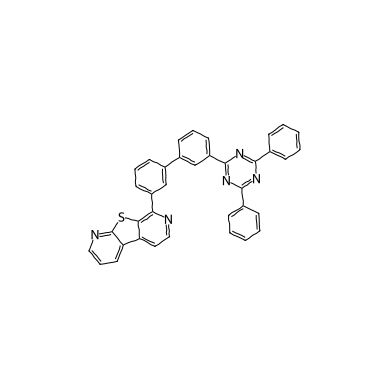 c1ccc(-c2nc(-c3ccccc3)nc(-c3cccc(-c4cccc(-c5nccc6c5sc5ncccc56)c4)c3)n2)cc1